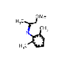 COCC(C)=Nc1c(C)cccc1C